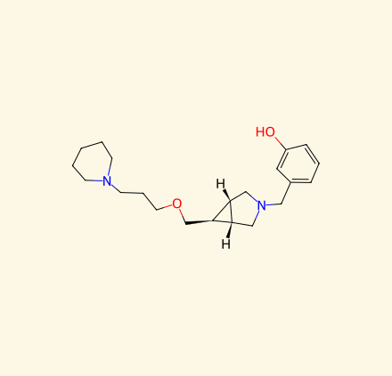 Oc1cccc(CN2C[C@@H]3[C@@H](COCCCN4CCCCC4)[C@@H]3C2)c1